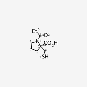 CCC(=O)N1CCCC1(CS)C(=O)O